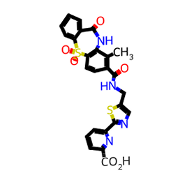 Cc1c(C(=O)NCc2cnc(-c3cccc(C(=O)O)n3)s2)ccc2c1NC(=O)c1ccccc1S2(=O)=O